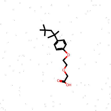 CC(C)(C)CC(C)(C)c1ccc(OCCOCC(=O)O)cc1